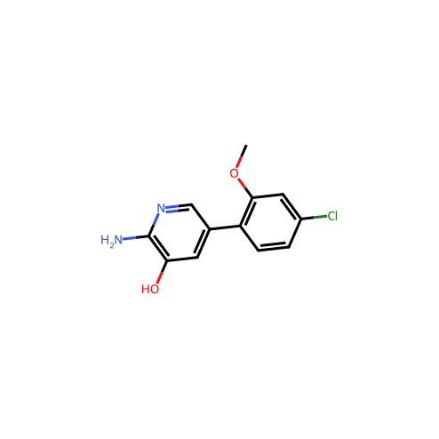 COc1cc(Cl)ccc1-c1cnc(N)c(O)c1